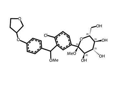 COC(c1ccc(OC2CCOC2)cc1)c1cc([C@]2(OC)O[C@H](CO)[C@@H](O)[C@H](O)[C@H]2O)ccc1Cl